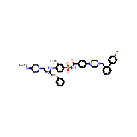 CON=C1CCN(CC[C@H](CSc2ccccc2)Nc2ccc(S(=O)(=O)NC(=O)c3ccc(N4CCN(Cc5ccccc5-c5ccc(Cl)cc5)CC4)cc3)cc2[N+](=O)[O-])CC1